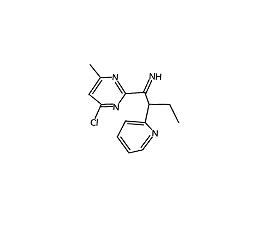 CCC(C(=N)c1nc(C)cc(Cl)n1)c1ccccn1